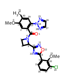 COc1cc(C(=O)N2CCC2c2noc(-c3cccc(Cl)c3OC)n2)c(-n2nccn2)cc1C